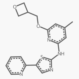 Cc1cc(Nc2ncc(-c3ccccn3)s2)nc(OCC2COC2)c1